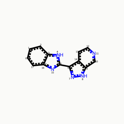 c1ccc2[nH]c(-c3n[nH]c4cnccc34)nc2c1